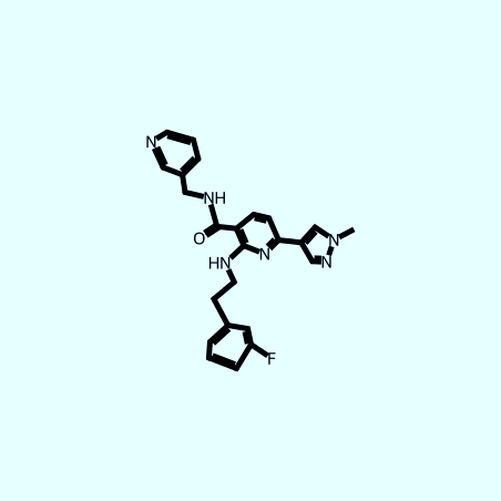 Cn1cc(-c2ccc(C(=O)NCc3cccnc3)c(NCCc3cccc(F)c3)n2)cn1